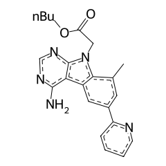 CCCCOC(=O)Cn1c2ncnc(N)c2c2cc(-c3ccccn3)cc(C)c21